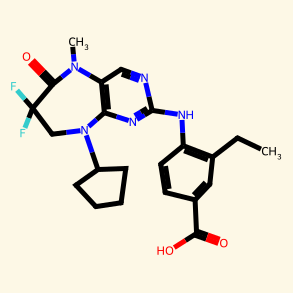 CCc1cc(C(=O)O)ccc1Nc1ncc2c(n1)N(C1CCCC1)CC(F)(F)C(=O)N2C